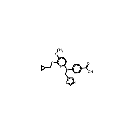 COc1ccc(N(Cc2cncs2)c2ccc(C(=O)O)cc2)nc1OCC1CC1